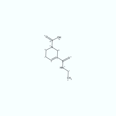 CCNC(=O)C1=CCCN(C(=O)O)C1